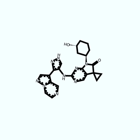 O=C1N([C@@H]2CCC[C@@H](O)C2)c2nc(Nc3c[nH]nc3-c3cnn4ccncc34)ncc2C12CC2